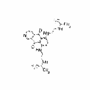 CC(C)NCCNc1ccc(NCCNC(C)C)c2c1C(=O)c1ccncc1C2=O